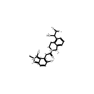 C[C@H]1c2cccc(C(O)C(F)F)c2CCN1C(=O)Cc1c(Cl)ccc2nn(C)c(Cl)c12